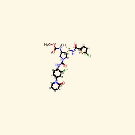 COC(=O)N(C)C1CN(C(=O)Nc2ccc(-n3ccccc3=O)cc2F)C[C@H]1CNC(=O)c1ccc(Cl)s1